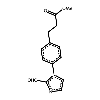 COC(=O)CCc1ccc(-n2ccnc2C=O)cc1